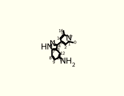 Cc1cc(-c2n[nH]c3ccc(N)cc23)cc(C)n1